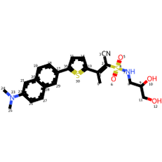 C/C(=C(/C#N)S(=O)(=O)NCC(O)CO)c1ccc(-c2ccc3cc(N(C)C)ccc3c2)s1